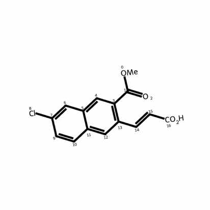 COC(=O)c1cc2cc(Cl)ccc2cc1/C=C/C(=O)O